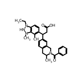 CCN1NN(C)c2c1ccc(C(CC(=O)O)c1ccc3c(c1)CN(C(=O)c1ccccc1)C(C)C3)c2C